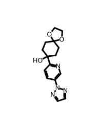 OC1(c2ccc(-n3nccn3)cn2)CCC2(CC1)OCCO2